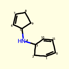 C1=CCC(NC2C=CCC2)C=C1